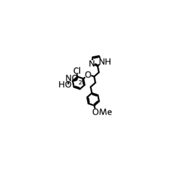 COc1ccc(CCC(Cc2ncc[nH]2)Oc2ccccc2Cl)cc1.O=[N+]([O-])O